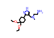 CCOCC1(COCC)CCC(c2n[nH]cc2CN(C)CCN)CC1